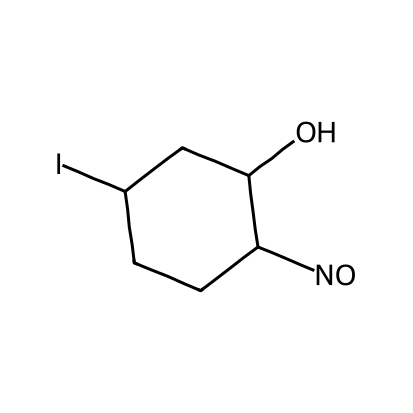 O=NC1CCC(I)CC1O